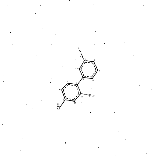 Fc1[c]ccc(-c2ccc(Cl)cc2F)c1